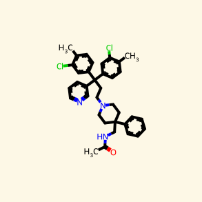 CC(=O)NCC1(c2ccccc2)CCN(CCC(c2cccnc2)(c2ccc(C)c(Cl)c2)c2ccc(C)c(Cl)c2)CC1